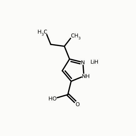 CCC(C)c1cc(C(=O)O)[nH]n1.[LiH]